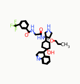 CCCO[C@H]1CNC[C@@]1(NC(=O)CNC(=O)c1cccc(C(F)(F)F)c1)C1CCC(O)(c2ccnc3ccccc23)CC1